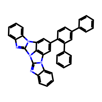 c1ccc(-c2ccc(-c3cc4c5c(c3)n3c6ccccc6nc3n5c3nc5ccccc5n43)c(-c3ccccc3)c2)cc1